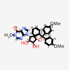 COc1ccc(C(O[C@H]2C[C@@H](n3cnc4c(=O)n(C)cnc43)[C@H](O)[C@@H]2O)(c2ccccc2)c2ccc(OC)cc2)cc1